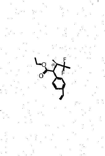 C=Cc1ccc(C(C(=O)OCC)[C@@H](C)C(C)(F)F)cc1